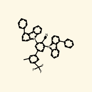 Cc1cc(-c2cc(-n3c4ccccc4c4c(-c5ccccc5)cccc43)c(C#N)c(-n3c4ccccc4c4c(-c5ccccc5)cccc43)c2)cc(C(F)(F)F)c1